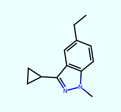 CCc1ccc2c(c1)c(C1CC1)nn2C